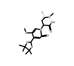 COc1cn(C(C[C@H](C)OC)C(=O)O)c(=O)cc1C1OC(C)(C)C(C)(C)O1